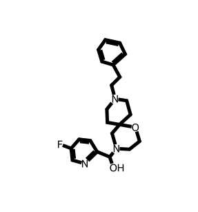 OC(c1ccc(F)cn1)N1CCOC2(CCN(CCc3ccccc3)CC2)C1